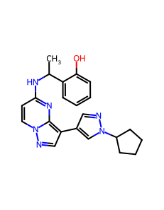 CC(Nc1ccn2ncc(-c3cnn(C4CCCC4)c3)c2n1)c1ccccc1O